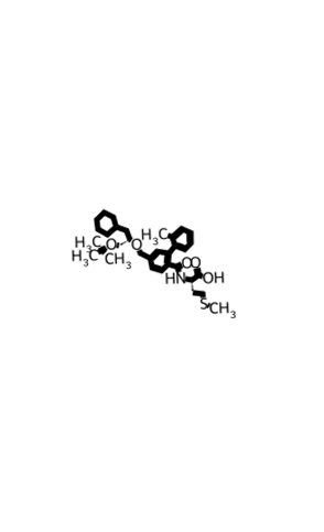 CSCC[C@H](NC(=O)c1ccc(CO[C@H](COC(C)(C)C)CC2CCCCC2)cc1-c1ccccc1C)C(=O)O